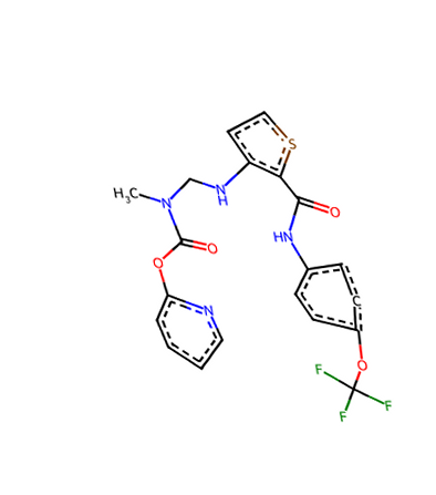 CN(CNc1ccsc1C(=O)Nc1ccc(OC(F)(F)F)cc1)C(=O)Oc1ccccn1